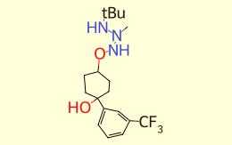 CN(NOC1CCC(O)(c2cccc(C(F)(F)F)c2)CC1)NC(C)(C)C